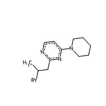 CC(C)C(C)Cc1nccc(N2CCCCC2)n1